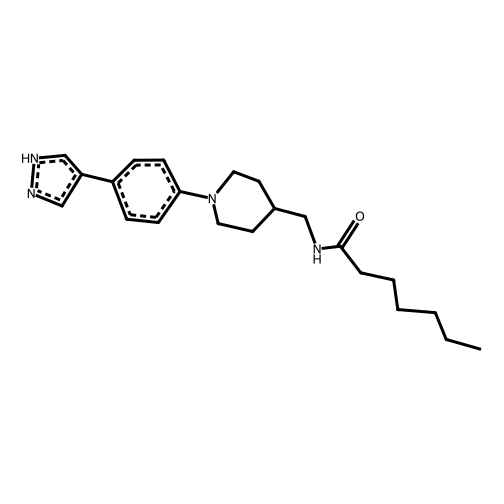 CCCCCCC(=O)NCC1CCN(c2ccc(-c3cn[nH]c3)cc2)CC1